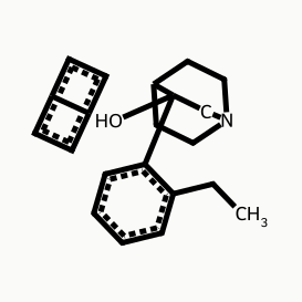 CCc1ccccc1C1(O)CN2CCC1CC2.c1cc2ccc1-2